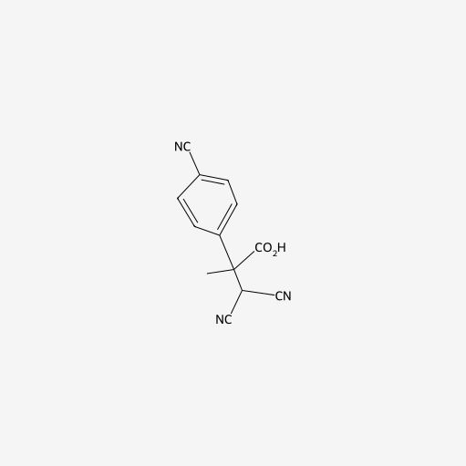 CC(C(=O)O)(c1ccc(C#N)cc1)C(C#N)C#N